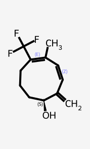 C=C1/C=C\C(C)=C(\C(F)(F)F)CCC[C@@H]1O